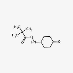 CC(C)(C)C(=O)ONC1CCC(=O)CC1